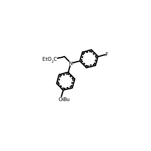 CCOC(=O)CN(c1ccc(F)cc1)c1ccc(OCC(C)C)cc1